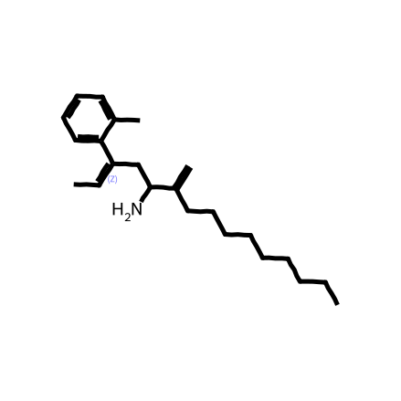 C=C(CCCCCCCCC)C(N)C/C(=C/C)c1ccccc1C